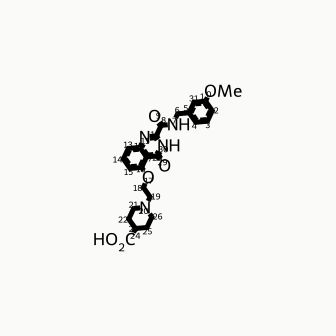 COc1cccc(CNC(=O)c2nc3cccc(OCCN4CCC(C(=O)O)CC4)c3c(=O)[nH]2)c1